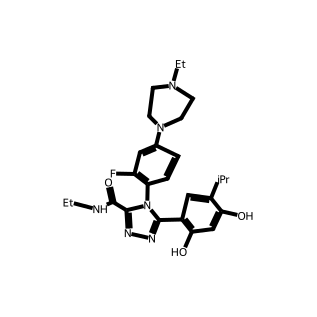 CCNC(=O)c1nnc(-c2cc(C(C)C)c(O)cc2O)n1-c1ccc(N2CCN(CC)CC2)cc1F